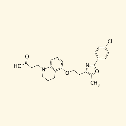 Cc1oc(-c2ccc(Cl)cc2)nc1CCOc1cccc2c1CCCN2CCC(=O)O